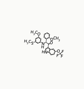 COc1cc(NC(C(=O)c2c[nH]c3ccc(OC(F)(F)F)cc23)c2ccccc2OC)cc(SC)c1